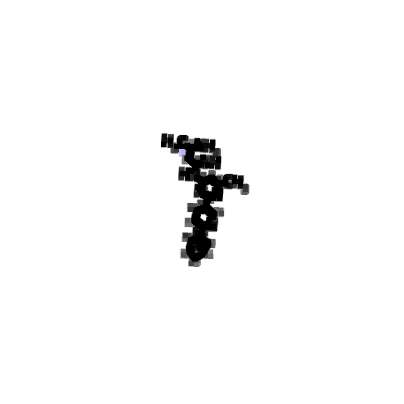 C/C(N)=C/C(=N)Nc1cc(C)nc(-c2ccc(N3CC4CC(C3)N4)nc2)n1